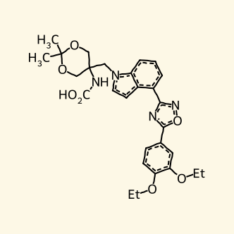 CCOc1ccc(-c2nc(-c3cccc4c3ccn4CC3(NC(=O)O)COC(C)(C)OC3)no2)cc1OCC